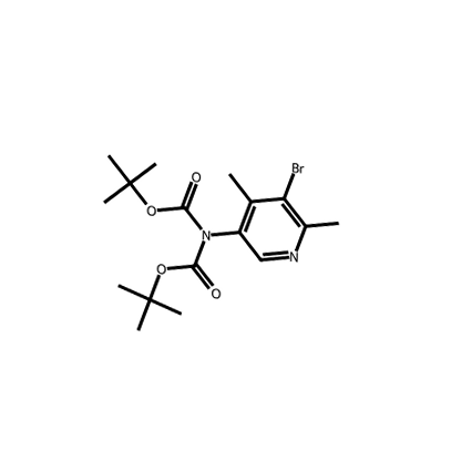 Cc1ncc(N(C(=O)OC(C)(C)C)C(=O)OC(C)(C)C)c(C)c1Br